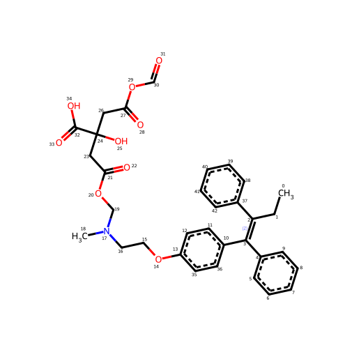 CC/C(=C(\c1ccccc1)c1ccc(OCCN(C)COC(=O)CC(O)(CC(=O)OC=O)C(=O)O)cc1)c1ccccc1